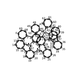 c1ccc(-c2ccccc2-n2c3ccccc3c3cccc(-n4c5ccccc5c5c(-n6c7ccccc7c7ccccc76)c([Si](c6ccccc6)(c6ccccc6)c6ccccc6)ccc54)c32)cc1